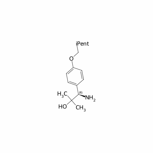 CCCC(C)COc1ccc([C@@H](N)C(C)(C)O)cc1